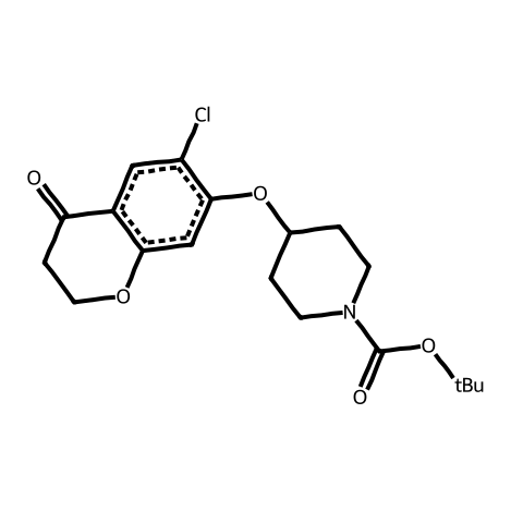 CC(C)(C)OC(=O)N1CCC(Oc2cc3c(cc2Cl)C(=O)CCO3)CC1